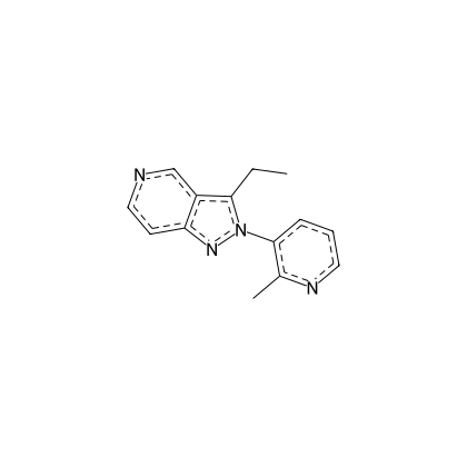 CCc1c2cnccc2nn1-c1cccnc1C